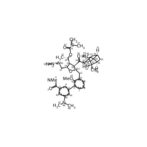 CNC(=O)c1cc(-c2cccc(CN3O[C@@H](CN=[N+]=[N-])[C@@H]([C@H](C)OC(=O)N(C)C)[C@H]3C(=O)N[C@H]3C[C@H]4C[C@@H]([C@@H]3C)C4(C)C)c2OC)cc(N(C)C)c1